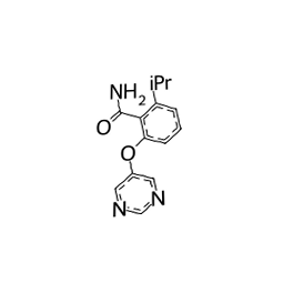 CC(C)c1cccc(Oc2cncnc2)c1C(N)=O